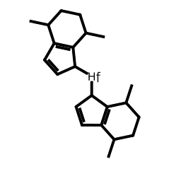 CC1CCC(C)C2=C1C=C[CH]2[Hf][CH]1C=CC2=C1C(C)CCC2C